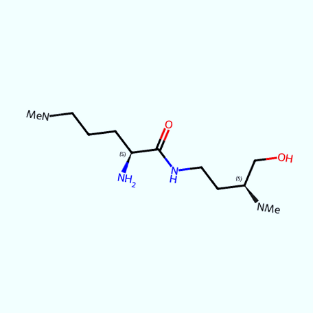 CNCCC[C@H](N)C(=O)NCC[C@@H](CO)NC